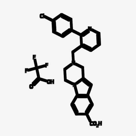 O=C(O)C(F)(F)F.O=C(O)c1ccc2c(c1)cc1n2CCN(Cc2cccnc2-c2ccc(Cl)cc2)C1